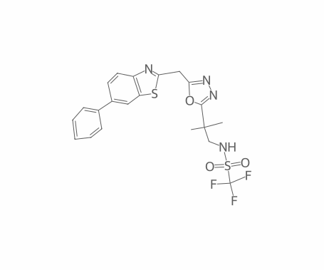 CC(C)(CNS(=O)(=O)C(F)(F)F)c1nnc(Cc2nc3ccc(-c4ccccc4)cc3s2)o1